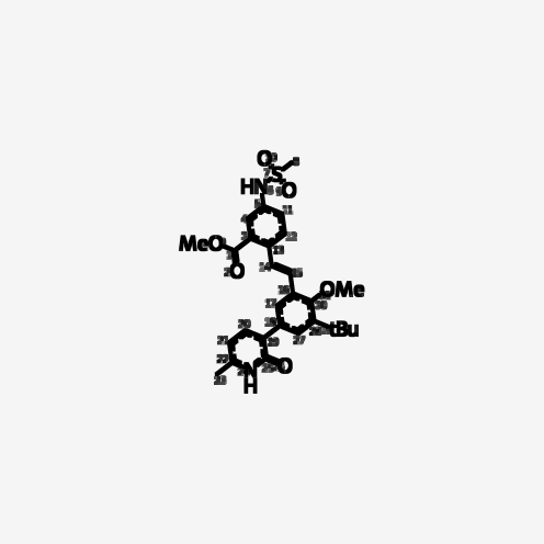 COC(=O)c1cc(NS(C)(=O)=O)ccc1C=Cc1cc(-c2ccc(C)[nH]c2=O)cc(C(C)(C)C)c1OC